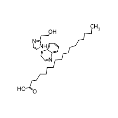 CCCCCCCCCCCCCCCCCC(=O)O.OCCc1ncc[nH]1.c1ccc2ncccc2c1